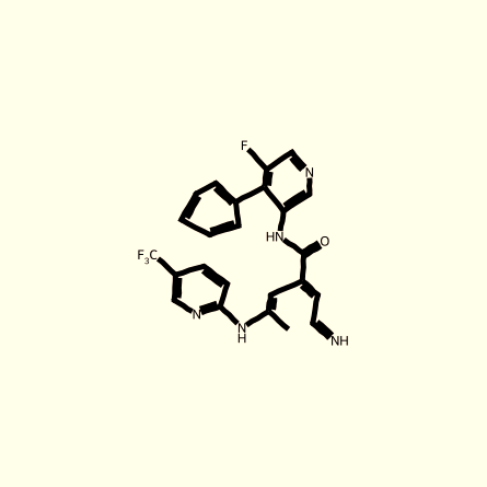 C/C(=C\C(=C/C=N)C(=O)Nc1cncc(F)c1-c1ccccc1)Nc1ccc(C(F)(F)F)cn1